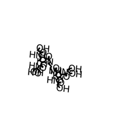 CN(CCCN(C)C(=O)c1c(I)c(NC(=O)CO)c(I)c(C(=O)NC(CO)CO)c1I)C(=O)c1c(I)c(NC(=O)CO)c(I)c(C(=O)NC(CO)CO)c1I